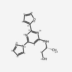 C[C@H](CO)Nc1cc(-n2cccn2)nc(-c2ccco2)n1